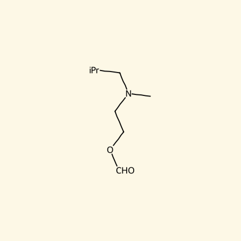 CC(C)CN(C)CCOC=O